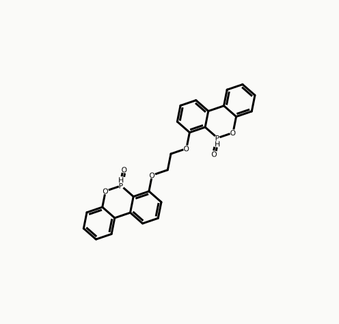 O=[PH]1Oc2ccccc2-c2cccc(OCCOc3cccc4c3[PH](=O)Oc3ccccc3-4)c21